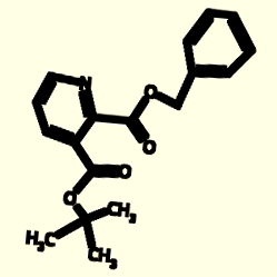 CC(C)(C)OC(=O)c1cccnc1C(=O)OCc1ccccc1